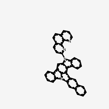 c1ccc2cc3c(cc2c1)c1c2c4ccccc4n(-c4ccc5ccc6cccnc6c5n4)c2cc2c4ccccc4n3c21